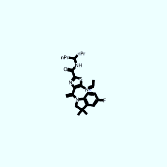 C=C(c1nc(C(=O)NC(CCC)CCC)sc1/N=C\C)N1CC(C)(C)c2cc(F)ccc21